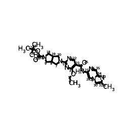 CCOc1nc(N2CC3CN(C(=O)OC(C)(C)C)CC3C2)ncc1C(=O)Nc1cn2cc(C)nc2cn1